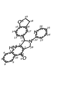 O=c1c2c([nH]c3ccccc13)C(c1ccc3c(c1)CCO3)N(c1ccccn1)C2